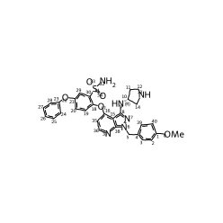 COc1ccc(Cn2nc(N[C@@H]3CCNC3)c3c(Oc4ccc(Oc5ccccc5)cc4S(N)(=O)=O)ccnc32)cc1